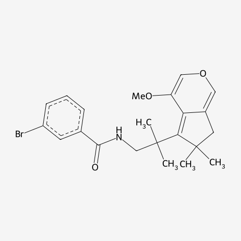 COC1=COC=C2CC(C)(C)C(C(C)(C)CNC(=O)c3cccc(Br)c3)=C21